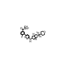 [2H]C([2H])(C1CCOCC1)N1C[C@H]2CC(Nc3ccc(-c4cc(C(=O)NC)ccc4F)nn3)C[C@H]2C1